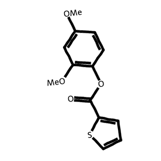 COc1ccc(OC(=O)c2cccs2)c(OC)c1